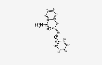 NC(=O)c1ccccc1CC=COc1ccccc1